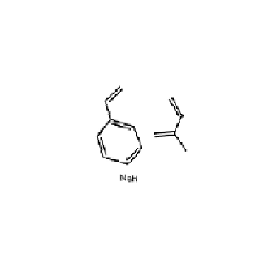 C=CC(=C)C.C=Cc1ccccc1.[NaH]